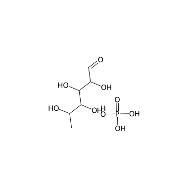 CC(O)C(O)C(O)C(O)C=O.O=P(O)(O)O